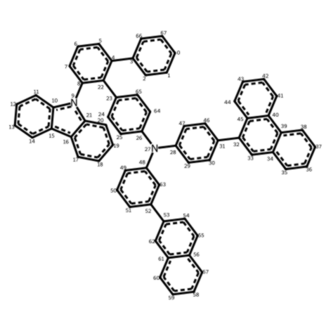 c1ccc(-c2cccc(-n3c4ccccc4c4ccccc43)c2-c2ccc(N(c3ccc(-c4cc5ccccc5c5ccccc45)cc3)c3cccc(-c4ccc5ccccc5c4)c3)cc2)cc1